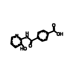 O=C(O)c1ccc(C(=O)Nc2ncccc2O)cc1